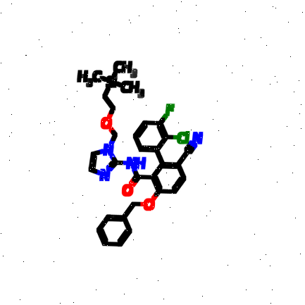 C[Si](C)(C)CCOCn1ccnc1NC(=O)c1c(OCc2ccccc2)ccc(C#N)c1-c1cccc(F)c1Cl